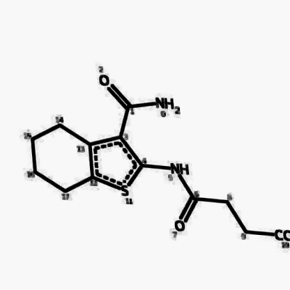 NC(=O)c1c(NC(=O)CCC(=O)O)sc2c1CCCC2